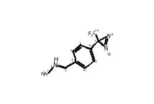 CCCNCc1ccc(C2(C(F)(F)F)N=N2)cc1